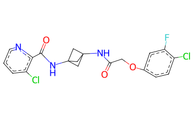 O=C(COc1ccc(Cl)c(F)c1)NC12CC(NC(=O)c3ncccc3Cl)(C1)C2